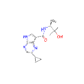 CCCC[C@H](NC(=O)c1c[nH]c2ncc(C3CC3)nc12)C(C)(C)O